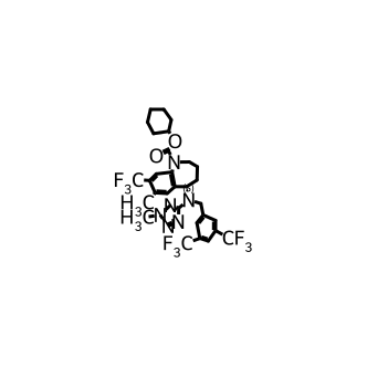 Cc1cc2c(cc1C(F)(F)F)N(C(=O)OC1CCCCC1)CCC[C@@H]2N(Cc1cc(C(F)(F)F)cc(C(F)(F)F)c1)c1nnn(C)n1